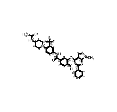 CC(=O)NC1CCN(c2ccc(NC(=O)c3ccc(C)c(Oc4nc(-c5ccncc5)nc5c4cnn5C)c3)cc2C(F)(F)F)CC1